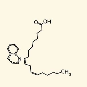 CCCCC/C=C\C/C=C\CCCCCCCC(=O)O.c1ccc2ncccc2c1